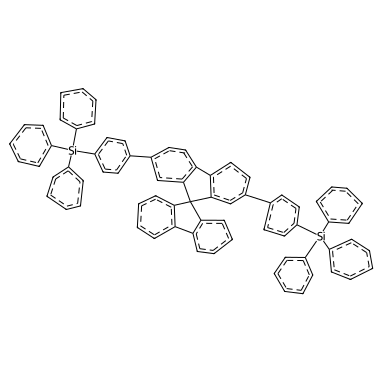 c1ccc([Si](c2ccccc2)(c2ccccc2)c2ccc(-c3ccc4c(c3)C3(c5ccccc5-c5ccccc53)c3cc(-c5ccc([Si](c6ccccc6)(c6ccccc6)c6ccccc6)cc5)ccc3-4)cc2)cc1